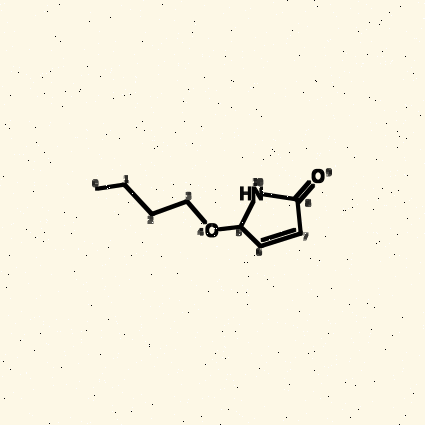 CCCCOC1C=CC(=O)N1